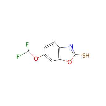 FC(F)Oc1ccc2nc(S)oc2c1